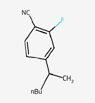 CCCCC(C)c1ccc(C#N)c(F)c1